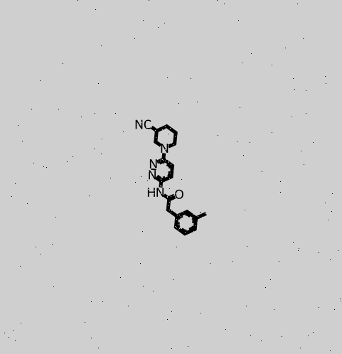 Cc1cccc(CC(=O)Nc2ccc(N3CCCC(C#N)C3)nn2)c1